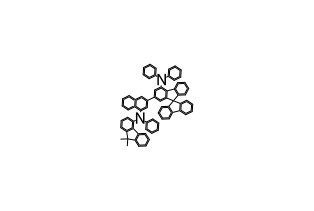 CC1(C)c2ccccc2-c2c(N(c3ccccc3)c3cc(-c4cc(N(c5ccccc5)c5ccccc5)c5c(c4)C4(c6ccccc6-c6ccccc64)c4ccccc4-5)cc4ccccc34)cccc21